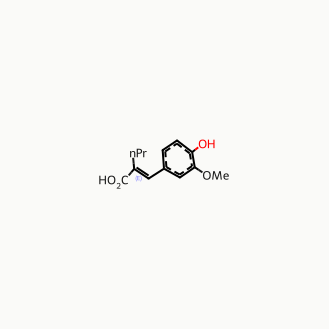 CCC/C(=C\c1ccc(O)c(OC)c1)C(=O)O